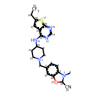 CN1c2ccc(CN3CCC(Nc4ncnc5sc(CC(F)(F)F)cc45)CC3)cc2OC1C#N